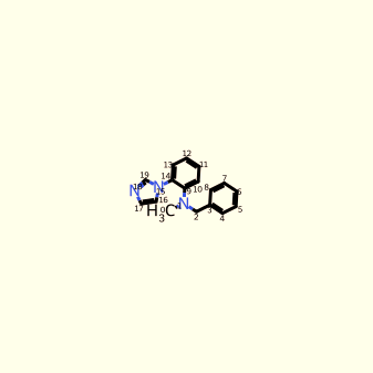 CN(Cc1ccccc1)c1ccccc1-n1ccnc1